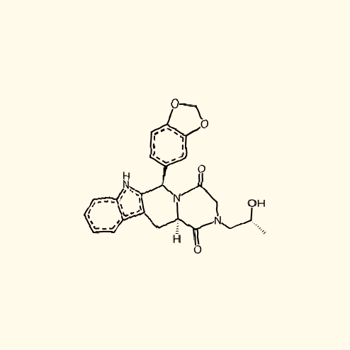 C[C@@H](O)CN1CC(=O)N2[C@H](c3ccc4c(c3)OCO4)c3[nH]c4ccccc4c3C[C@@H]2C1=O